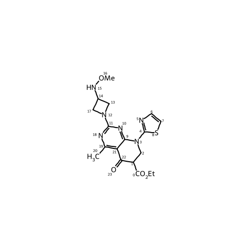 CCOC(=O)C1CN(c2nccs2)c2nc(N3CC(NOC)C3)nc(C)c2C1=O